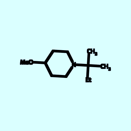 CCC(C)(C)N1CCC(OC)CC1